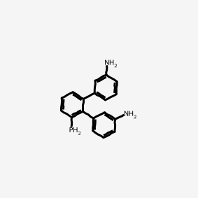 Nc1cccc(-c2cccc(P)c2-c2cccc(N)c2)c1